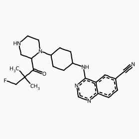 CC(C)(CF)C(=O)C1CNCCN1C1CCC(Nc2ncnc3ccc(C#N)cc23)CC1